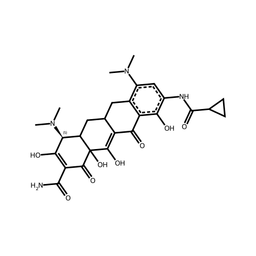 CN(C)c1cc(NC(=O)C2CC2)c(O)c2c1CC1CC3[C@H](N(C)C)C(O)=C(C(N)=O)C(=O)C3(O)C(O)=C1C2=O